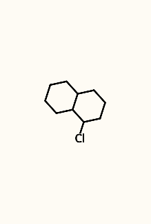 ClC1CCCC2CCCCC12